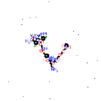 CN/C(=N\C=N)[C@H]1C(=N)c2c(C(N)=O)cc(F)cc2N(C(=O)OCCNC(=O)OCc2ccc(NC(=O)[C@H](CCCCN)NC(=O)[C@H](C)NC(=O)CCOCCOCCN3C(=O)C=CC3=O)cc2)[C@@H]1c1ccc(F)cc1